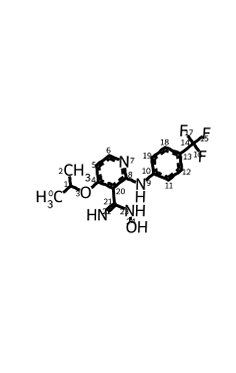 CC(C)Oc1ccnc(Nc2ccc(C(F)(F)F)cc2)c1C(=N)NO